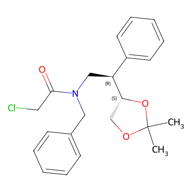 CC1(C)OC[C@H]([C@@H](CN(Cc2ccccc2)C(=O)CCl)c2ccccc2)O1